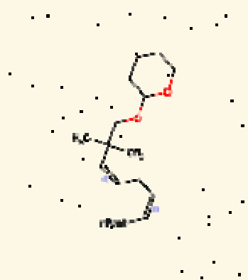 CCCCC/C=C\C/C=C\C(C)(C)COC1CCCCO1